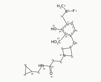 CB(F)Cc1ccc(OC2CN(CCC(=O)NCC3CC3)C2)c(C(=O)O)c1O